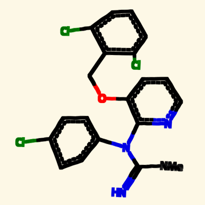 CNC(=N)N(c1ccc(Cl)cc1)c1ncccc1OCc1c(Cl)cccc1Cl